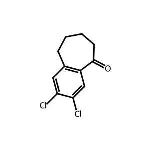 O=C1CCCCc2cc(Cl)c(Cl)cc21